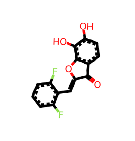 O=C1/C(=C/c2c(F)cccc2F)Oc2c1ccc(O)c2O